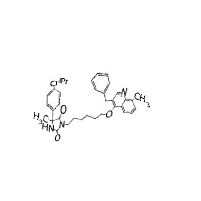 Cc1cccc2c(OCCCCCCN3C(=O)NC(C)(c4ccc(OC(C)C)cc4)C3=O)c(Cc3ccccc3)cnc12